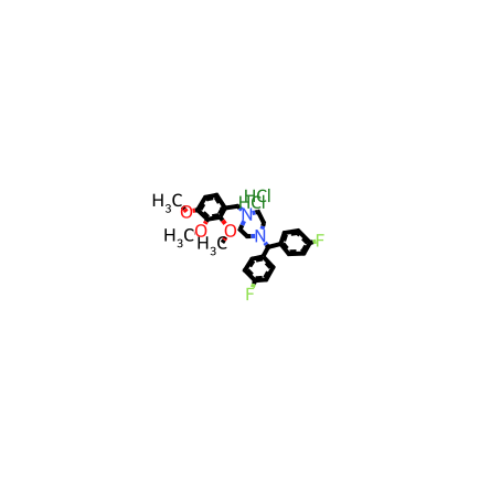 COc1ccc(CN2CCN(C(c3ccc(F)cc3)c3ccc(F)cc3)CC2)c(OC)c1OC.Cl.Cl